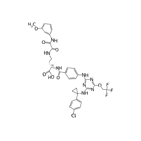 COc1cccc(NC(=O)C(=O)NCC[C@H](NC(=O)c2ccc(Nc3nc(NC4(c5ccc(Cl)cc5)CC4)nc(OCC(F)(F)F)n3)cc2)C(=O)O)c1